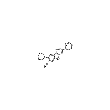 N#Cc1cc2oc3cc(-c4ccccn4)ccc3c2cc1C1CCCCC1